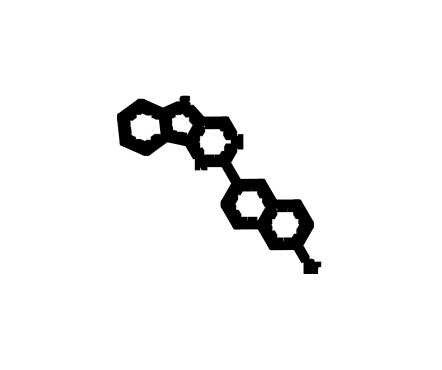 Brc1ccc2cc(-c3ncc4sc5ccccc5c4n3)ccc2c1